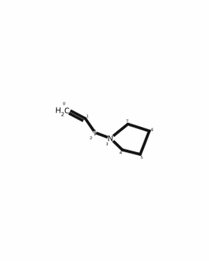 C=C[I]N1CCCC1